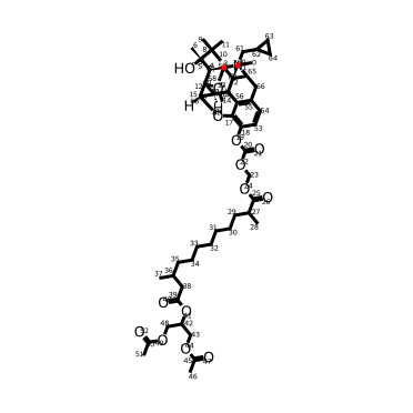 CC[C@]12C[C@H]([C@](C)(O)C(C)(C)C)[C@@]3(OC)[C@H]4Oc5c(OC(=O)OCOC(=O)C(C)CCCCCCCC(C)CC(=O)OC(COC(C)=O)COC(C)=O)ccc6c5[C@@]1(CCN(CC1CC1)C2C6)[C@@H]43